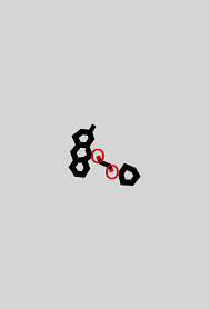 Cc1ccc2cc3ccccc3c(OCCOc3ccccc3)c2c1